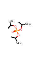 CC(C)COC(C)OP(=O)(OC(C)OCC(C)C)OC(C)OCC(C)C